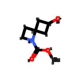 CC(C)(C)OC(=O)N1CCC12CC([O])C2